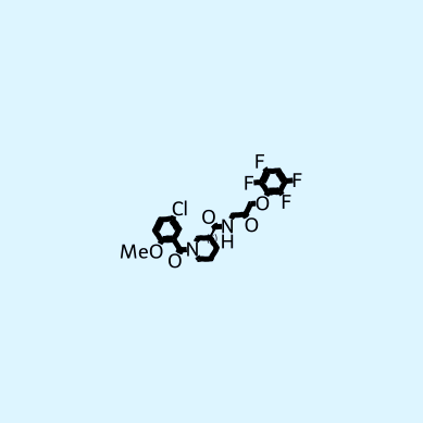 COc1ccc(Cl)cc1C(=O)N1CCC[C@H](C(=O)NCC(=O)COc2c(F)c(F)cc(F)c2F)C1